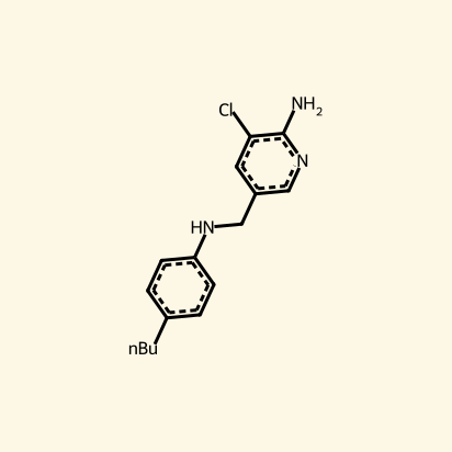 CCCCc1ccc(NCc2cnc(N)c(Cl)c2)cc1